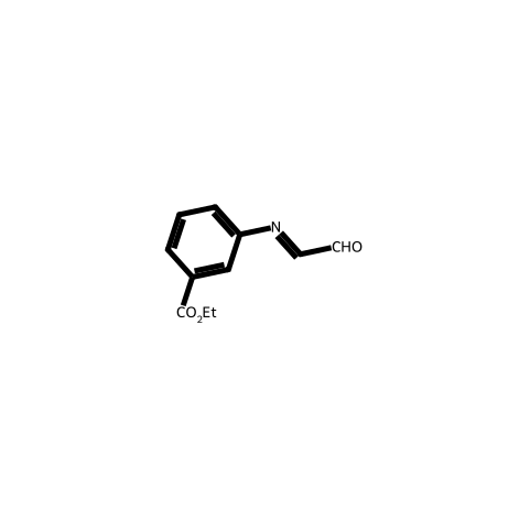 CCOC(=O)c1cccc(N=CC=O)c1